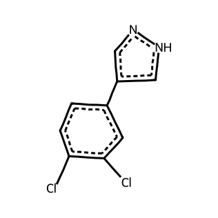 Clc1ccc(-c2cn[nH]c2)cc1Cl